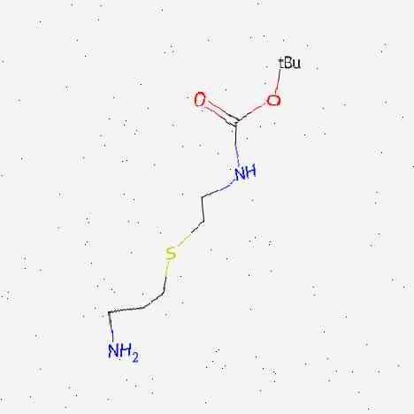 CC(C)(C)OC(=O)NCCSCCN